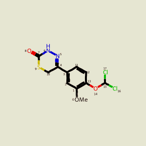 COc1cc(C2=NNC(=O)SC2)ccc1OC(Cl)Cl